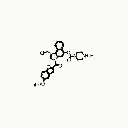 CCCOc1ccc2oc(C(=O)N3C[C@@H](CCl)c4c3cc(OC(=O)N3CCN(C)CC3)c3ccccc43)cc2c1